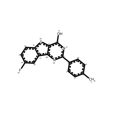 Cc1ccc(-c2nc(O)c3sc4ccc(F)cc4c3n2)cc1